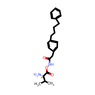 CC(C)[C@H](N)C(=O)ONC(=O)Cc1ccc(CCCCc2ccccc2)cc1